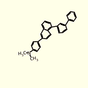 CN(C)c1ccc(-c2ccc3c(-c4cccc(-c5ccccc5)c4)cccc3c2)cc1